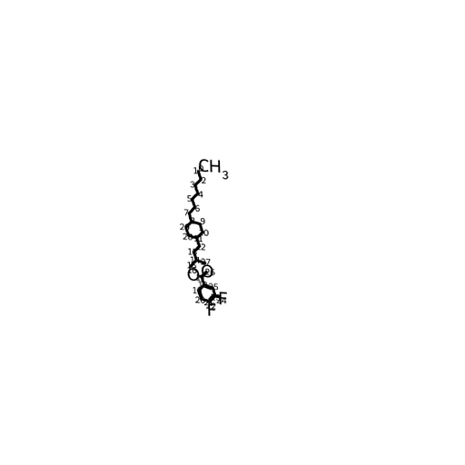 CCCCCCCCC1CCC(CCC2COC(c3ccc(F)c(F)c3)OC2)CC1